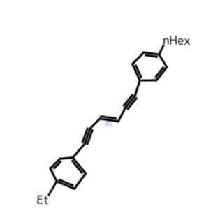 CCCCCCc1ccc(C#C/C=C/C#Cc2ccc(CC)cc2)cc1